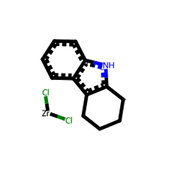 [CH]1CCCc2c1[nH]c1ccccc21.[Cl][Zr][Cl]